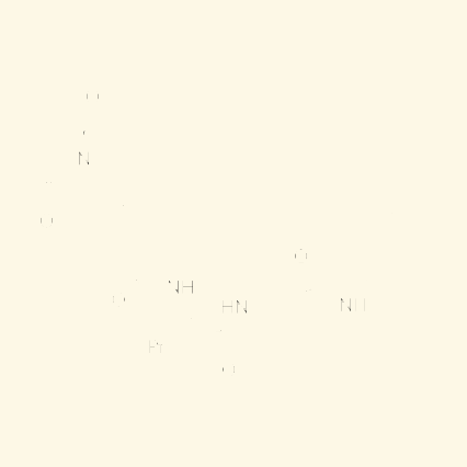 Cc1ccc(NC(=O)CNC(=O)C(NC(=O)C(C)(C)C(C)(C)CN2C(=O)C=CC2=O)C(C)C)cc1